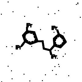 CC(C)c1cc(CCC(c2cccc(C(C)C)c2)C(C)C)cc(C(C)C)c1